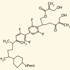 C=C(CO)C(=O)CCC(COC(=O)C(=C)CO)c1c(F)cc(C(=C\F)/C(F)=C\C(=C)C(C)CCC(C)C2CCC(CCCCC)CC2)cc1F